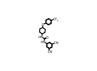 N#Cc1cc(C#N)cc(NC(=O)NC2CCC(Oc3ccc(C(F)(F)F)cc3)CC2)c1